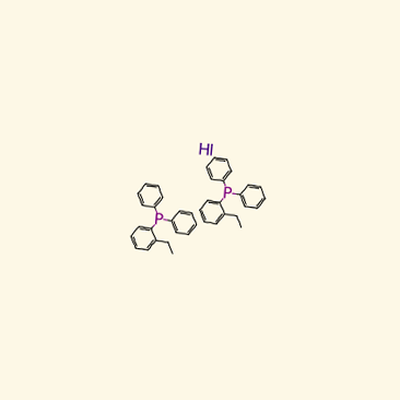 CCc1ccccc1P(c1ccccc1)c1ccccc1.CCc1ccccc1P(c1ccccc1)c1ccccc1.I